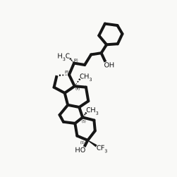 C[C@H](CCC(O)C1CCCCC1)[C@H]1CCC2C3CCC4C[C@](O)(C(F)(F)F)CC[C@]4(C)C3CC[C@@]21C